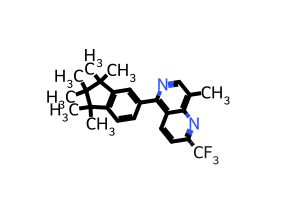 Cc1cnc(-c2ccc3c(c2)C(C)(C)C(C)(C)C3(C)C)c2ccc(C(F)(F)F)nc12